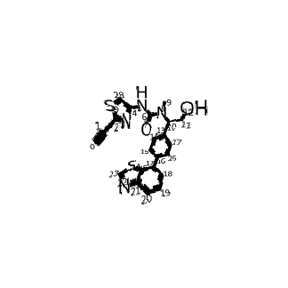 C#Cc1nc(NC(=O)N(C)[C@@H](CO)c2ccc(-c3cccc4ncsc34)cc2)cs1